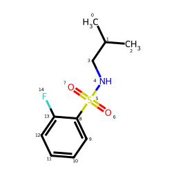 CC(C)CNS(=O)(=O)c1ccccc1F